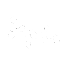 C1=CCCC(N(c2ccccc2)c2ccc3c4cc5c(c6ccc(-c7ccccc7)c7c8ccccc8n5c67)c5c6ccccc6n(c3c2)c45)=C1